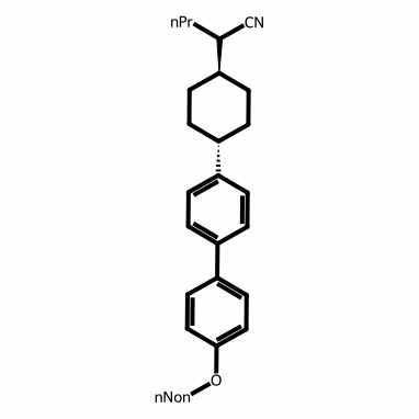 CCCCCCCCCOc1ccc(-c2ccc([C@H]3CC[C@H](C(C#N)CCC)CC3)cc2)cc1